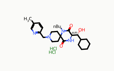 CCCCN1C(=O)[C@@H]([C@H](O)C2CCCCC2)NC(=O)C12CCN(Cc1ccc(C)cn1)CC2.Cl.Cl